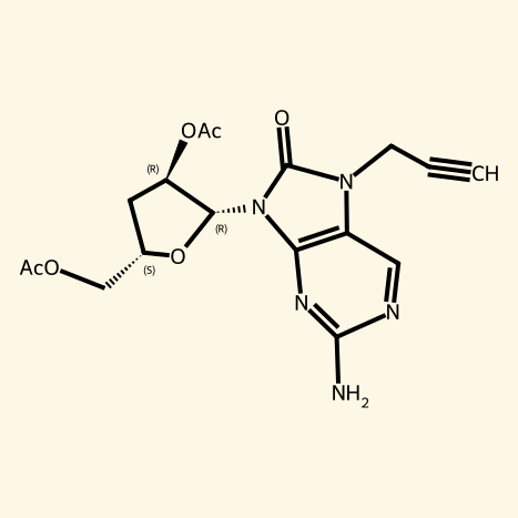 C#CCn1c(=O)n([C@@H]2O[C@H](COC(C)=O)C[C@H]2OC(C)=O)c2nc(N)ncc21